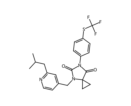 CC(C)Cc1cc(CN2C(=O)N(c3ccc(SC(F)(F)F)cc3)C(=O)C23CC3)ccn1